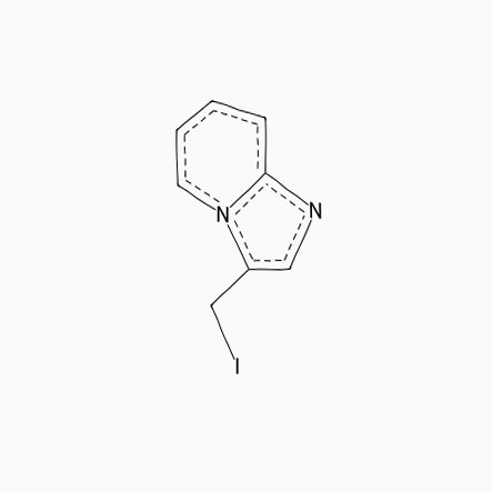 ICc1cnc2ccccn12